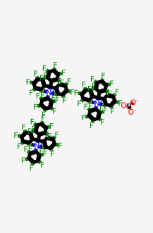 C[N+](C)(c1c(F)c(F)c(F)c(F)c1F)C(c1c(F)c(F)c(F)c(F)c1F)(c1c(F)c(F)c(F)c(F)c1F)c1c(F)c(F)c(F)c(F)c1F.C[N+](C)(c1c(F)c(F)c(F)c(F)c1F)C(c1c(F)c(F)c(F)c(F)c1F)(c1c(F)c(F)c(F)c(F)c1F)c1c(F)c(F)c(F)c(F)c1F.C[N+](C)(c1c(F)c(F)c(F)c(F)c1F)C(c1c(F)c(F)c(F)c(F)c1F)(c1c(F)c(F)c(F)c(F)c1F)c1c(F)c(F)c(F)c(F)c1F.[O-]B([O-])[O-]